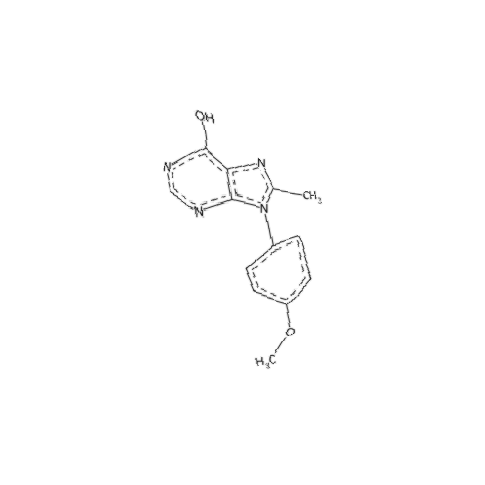 COc1ccc(-n2c(C)nc3c(O)ncnc32)cc1